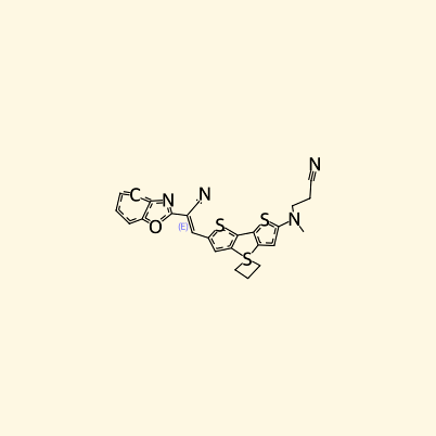 CN(CCC#N)c1cc2c(s1)-c1sc(/C=C(\C#N)c3nc4ccccc4o3)cc1S21CCC1